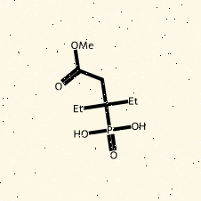 CCC(CC)(CC(=O)OC)P(=O)(O)O